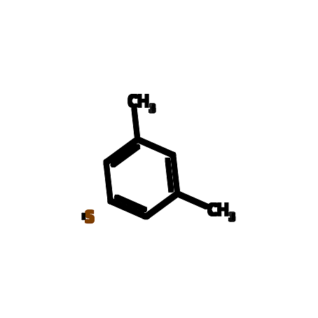 Cc1cccc(C)c1.[S]